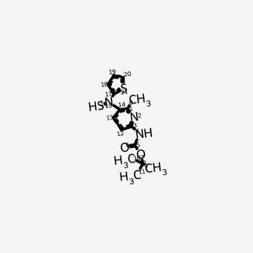 Cc1nc(NC(=O)OC(C)(C)C)ccc1N(S)c1cccs1